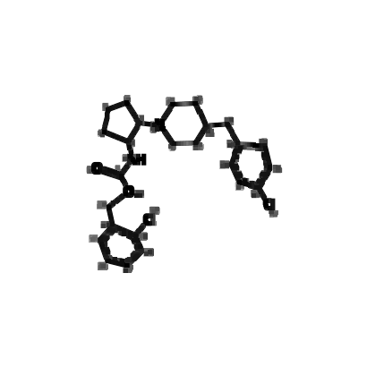 O=C(NC1CCCC1N1CCC(Cc2ccc(Cl)cc2)CC1)OCc1ccccc1Cl